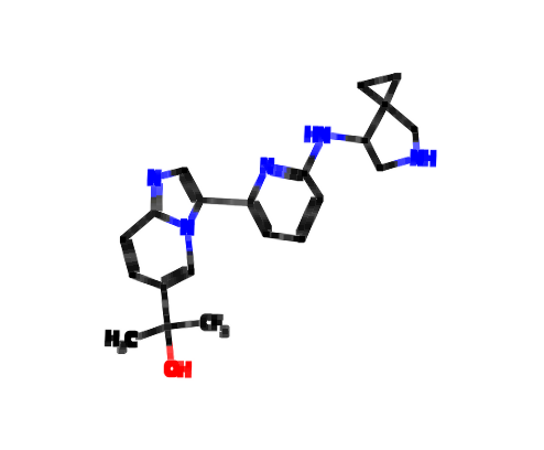 CC(O)(c1ccc2ncc(-c3cccc(NC4CNCC45CC5)n3)n2c1)C(F)(F)F